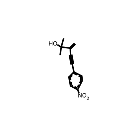 C=C(C#Cc1ccc([N+](=O)[O-])cc1)C(C)(C)O